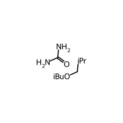 CC(C)COCC(C)C.NC(N)=O